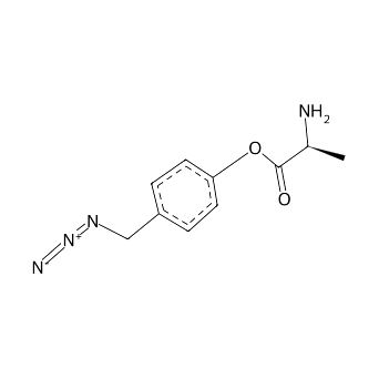 C[C@H](N)C(=O)Oc1ccc(CN=[N+]=[N-])cc1